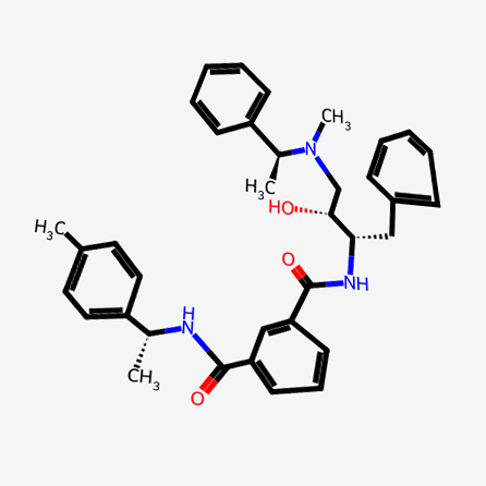 Cc1ccc([C@@H](C)NC(=O)c2cccc(C(=O)N[C@@H](Cc3ccccc3)[C@H](O)CN(C)[C@@H](C)c3ccccc3)c2)cc1